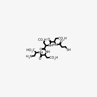 NCC(NC(=O)C(CC(=O)O)NC(=O)C(CC(=O)O)NC(=O)C(CC(=O)O)NC(=O)CCS)C(=O)O